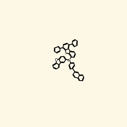 c1ccc(-c2ccc(-c3ccccc3)c3c2sc2c(N(c4ccc(-c5ccc6ccccc6c5)cc4)c4ccc5oc6ccccc6c5c4)cccc23)cc1